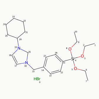 Br.CCO[Si](OCC)(OCC)c1ccc(CN2C=CN(C3CCCCC3)C2)cc1